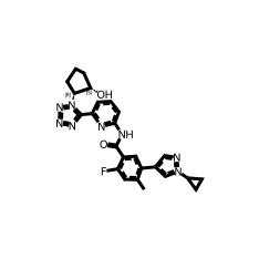 Cc1cc(F)c(C(=O)Nc2cccc(-c3nnnn3[C@@H]3CCC[C@@H]3O)n2)cc1-c1cnn(C2CC2)c1